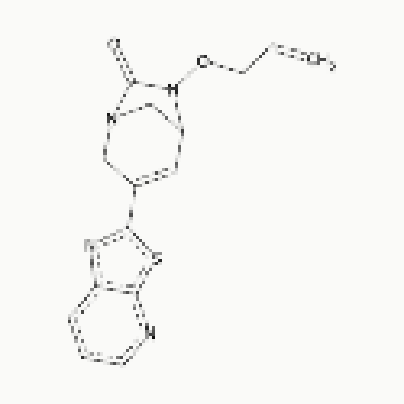 C=CCON1C(=O)N2CC(c3nc4cccnc4s3)=CC1C2